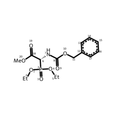 CCOP(=O)(OCC)[C@@H](NC(=O)OCc1ccccc1)C(=O)OC